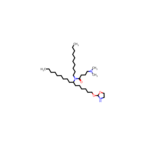 CCCCCCCCCCN(C(=O)CCCN(C)C)C(CCCCCCCCC)CCCCCCOC1NCCO1